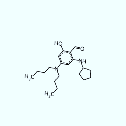 CCCCN(CCCC)c1cc(O)c(C=O)c(NC2CCCC2)c1